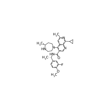 COc1ccc([C@H](C)NC(=O)c2cnc3c(C4CC4)nc(C)cc3c2N2CCN[C@@H](C)CC2)cc1F